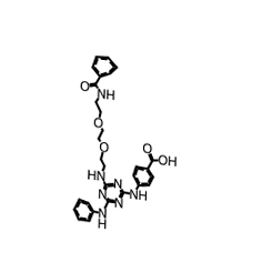 O=C(O)c1ccc(Nc2nc(NCCOCCOCCNC(=O)c3ccccc3)nc(Nc3ccccc3)n2)cc1